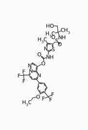 CCOc1cc(-c2cc(C(F)(F)F)n3ncc(OC(=O)Nc4nc(C)c(S(=O)(=O)NC(C)(C)CO)s4)c3n2)ccc1C(F)(F)F